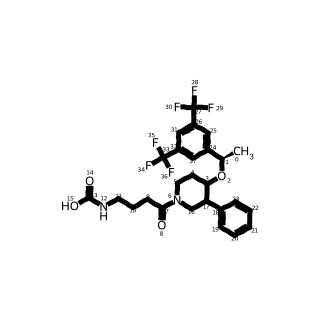 C[C@@H](OC1CCN(C(=O)CCCNC(=O)O)CC1c1ccccc1)c1cc(C(F)(F)F)cc(C(F)(F)F)c1